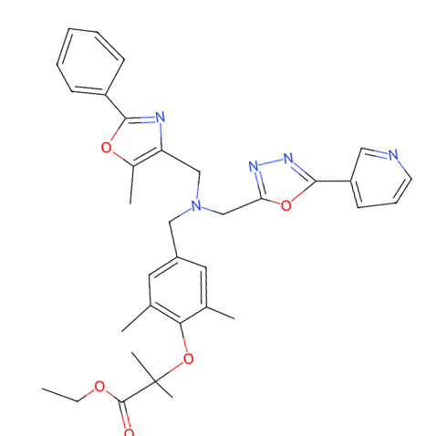 CCOC(=O)C(C)(C)Oc1c(C)cc(CN(Cc2nnc(-c3cccnc3)o2)Cc2nc(-c3ccccc3)oc2C)cc1C